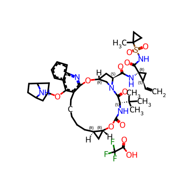 C=C[C@@H]1C[C@]1(NC(=O)[C@@H]1C[C@@H]2CN1C(=O)[C@H](C(C)(C)C)NC(=O)O[C@@H]1C[C@H]1CCCCCc1c(nc3ccccc3c1OC1CC3CCC(C1)N3)O2)C(=O)NS(=O)(=O)C1(C)CC1.O=C(O)C(F)(F)F